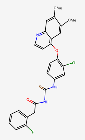 COc1cc2nccc(Oc3ccc(NC(=S)NC(=O)Cc4ccccc4F)cc3Cl)c2cc1OC